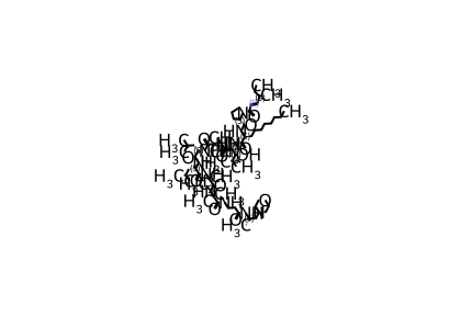 CCCCCCCC[C@H](NC(=O)[C@@H]1CCCN1C(=O)/C=C/[C@@H](C)CC)C(=O)N[C@H](C(=O)NC(C)(C)C(=O)N[C@@H](CC(C)C)C(=O)N[C@@H](CC(C)C)C(=O)NC(C)(C)C(=O)NC(C)(C)C(=O)NCCC(=O)N[C@@H](C)CN1CCOCC1)[C@H](O)C(C)C